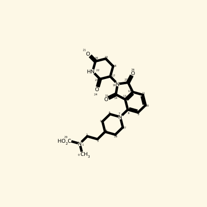 CN(CCC1CCN(c2cccc3c2C(=O)N(C2CCC(=O)NC2=O)C3=O)CC1)C(=O)O